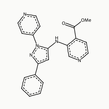 COC(=O)c1ccncc1Nc1cc(-c2ccccc2)nn1-c1ccncc1